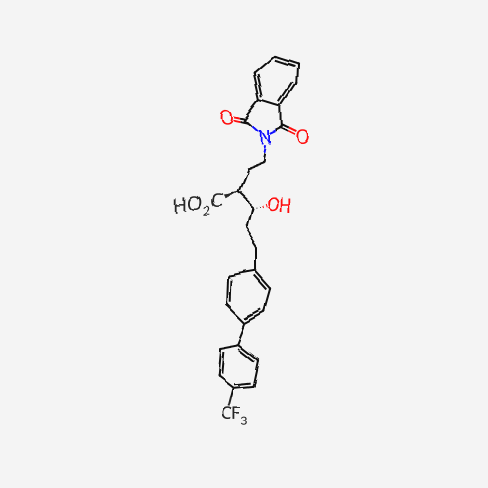 O=C(O)[C@@H](CCN1C(=O)c2ccccc2C1=O)[C@H](O)CCc1ccc(-c2ccc(C(F)(F)F)cc2)cc1